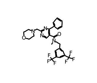 CN(Cc1cc(C(F)(F)F)cc(C(F)(F)F)c1)C(=O)c1cnc(CN2CCOCC2)nc1-c1ccccc1